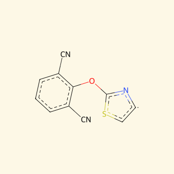 N#Cc1cccc(C#N)c1Oc1n[c]cs1